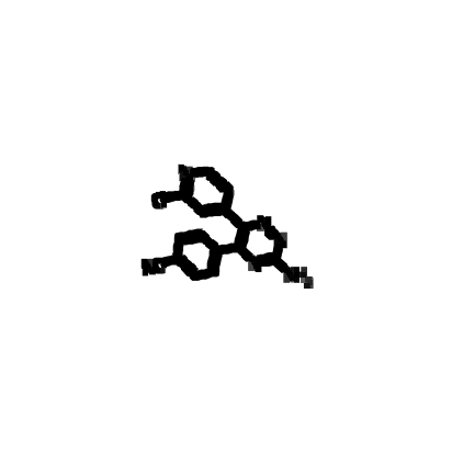 N#Cc1ccc(-c2nc(N)nnc2-c2ccnc(Cl)c2)cc1